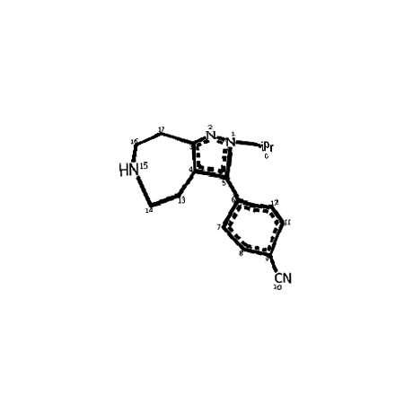 CC(C)n1nc2c(c1-c1ccc(C#N)cc1)CCNCC2